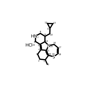 CC1CCC2=C3CNCC(CC4CC4)C3N3CC=CSC1=C23.Cl